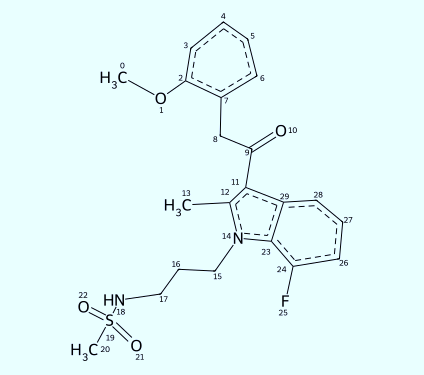 COc1ccccc1CC(=O)c1c(C)n(CCCNS(C)(=O)=O)c2c(F)cccc12